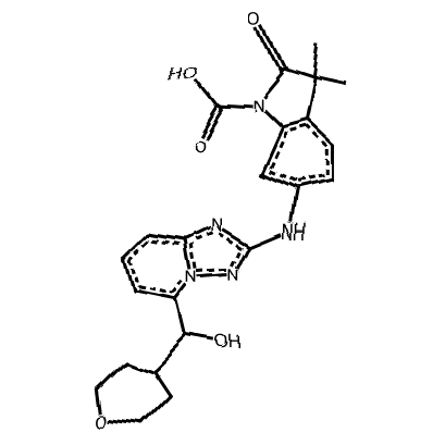 CC1(C)C(=O)N(C(=O)O)c2cc(Nc3nc4cccc(C(O)C5CCOCC5)n4n3)ccc21